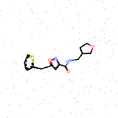 O=C(NCC1CCOC1)c1cc(Cc2cccs2)on1